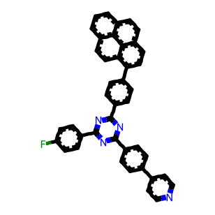 Fc1ccc(-c2nc(-c3ccc(-c4ccncc4)cc3)nc(-c3ccc(-c4ccc5ccc6cccc7ccc4c5c67)cc3)n2)cc1